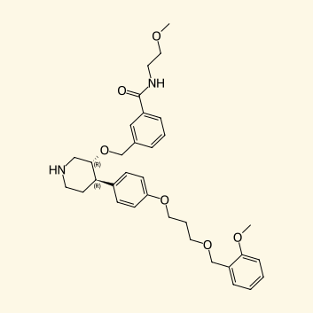 COCCNC(=O)c1cccc(CO[C@H]2CNCC[C@@H]2c2ccc(OCCCOCc3ccccc3OC)cc2)c1